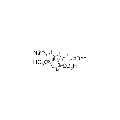 CCCCCCCCCCCCCCCCC[CH2][Na].O=C(O)c1ccc(C(=O)O)cc1